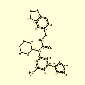 Cc1cc(C(C(=O)NCc2ccc3c(c2)CCC3)N2CCCCC2)nc(-n2ccnc2)n1